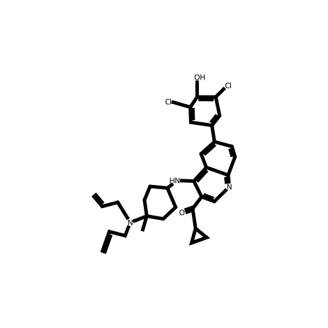 C=CCN(CC=C)C1(C)CCC(Nc2c(C(=O)C3CC3)cnc3ccc(-c4cc(Cl)c(O)c(Cl)c4)cc23)CC1